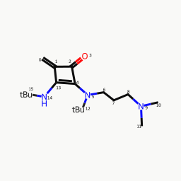 C=C1C(=O)C(N(CCCN(C)C)C(C)(C)C)=C1NC(C)(C)C